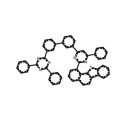 c1ccc(-c2cc(-c3cccc(-c4cccc(-c5nc(-c6ccccc6)nc(-c6ccccc6)n5)c4)c3)nc(-c3cccc4ccc5c6ccccc6sc5c34)n2)cc1